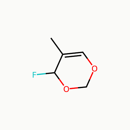 CC1=COCOC1F